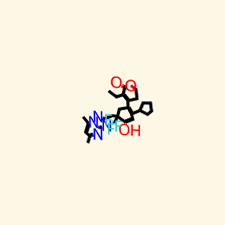 CCC1=C(C2=C(C3CCCC3)C=C(O)C(Cc3nc4nc(C)cc(C)n4n3)(C(F)(F)F)C2)CCOC1=O